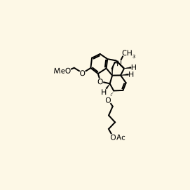 COCOc1ccc2c3c1O[C@H]1[C@@H](OCCCCOC(C)=O)C=C[C@H]4[C@@H](C2)N(C)CC[C@@]341